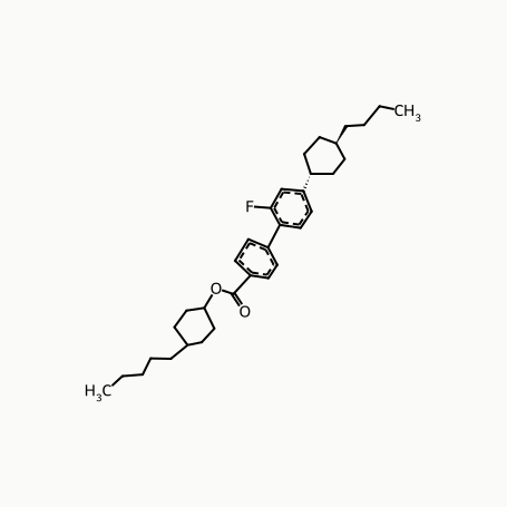 CCCCCC1CCC(OC(=O)c2ccc(-c3ccc([C@H]4CC[C@H](CCCC)CC4)cc3F)cc2)CC1